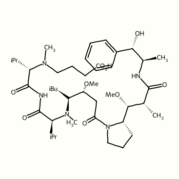 CC[C@H](C)[C@@H]([C@@H](CC(=O)N1CCC[C@H]1[C@H](OC)[C@@H](C)C(=O)N[C@H](C)[C@@H](O)c1ccccc1)OC)N(C)[C@H](C(=O)NC(=O)[C@H](C(C)C)N(C)CCCC(=O)O)C(C)C